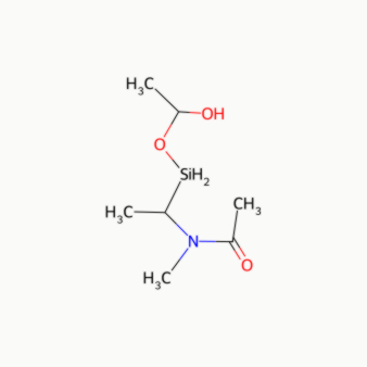 CC(=O)N(C)C(C)[SiH2]OC(C)O